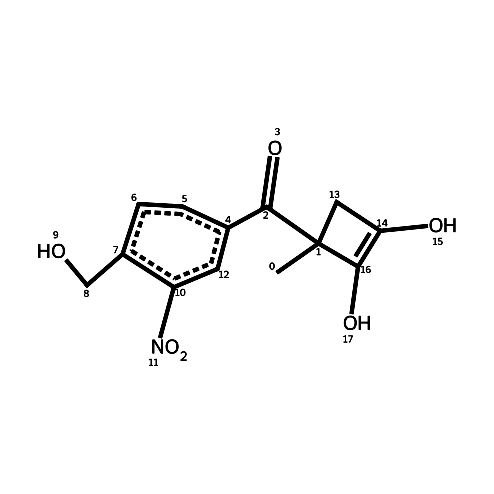 CC1(C(=O)c2ccc(CO)c([N+](=O)[O-])c2)CC(O)=C1O